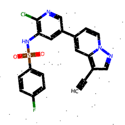 C#Cc1cnn2ccc(-c3cnc(Cl)c(NS(=O)(=O)c4ccc(F)cc4)c3)cc12